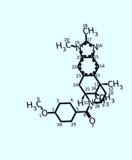 COC1CCC(C(=O)N2CC[C@@]3(C)c4cc5nc(C)n(C)c5cc4C[C@@H]2C3(C)C)CC1